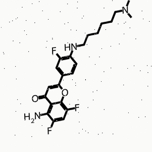 CN(C)CCCCCCNc1ccc(-c2cc(=O)c3c(N)c(F)cc(F)c3o2)cc1F